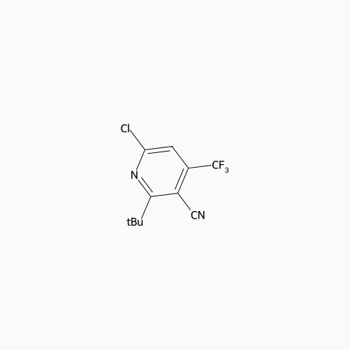 CC(C)(C)c1nc(Cl)cc(C(F)(F)F)c1C#N